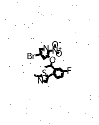 Cc1ncc(-c2ccc(F)cc2C(C)Oc2cc(Br)cnc2[N+](=O)[O-])s1